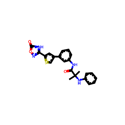 CC(C)(Nc1ccccc1)C(=O)Nc1cccc(-c2csc(-c3noc(=O)[nH]3)c2)c1